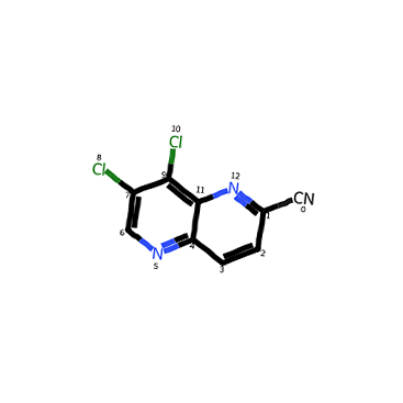 N#Cc1ccc2ncc(Cl)c(Cl)c2n1